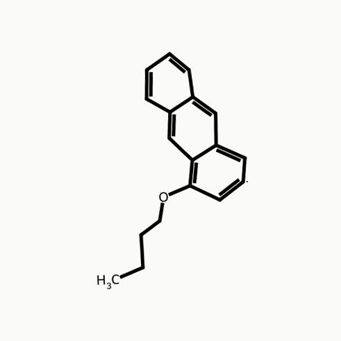 CCCCOc1c[c]cc2cc3ccccc3cc12